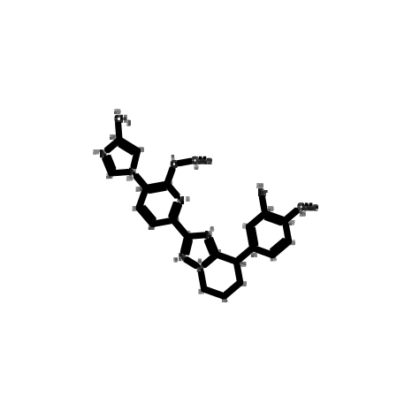 COOc1nc(-c2nc3n(n2)CCCC3c2ccc(OC)c(Br)c2)ccc1-n1cnc(C)c1